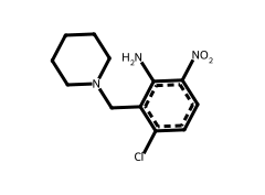 Nc1c([N+](=O)[O-])ccc(Cl)c1CN1CCCCC1